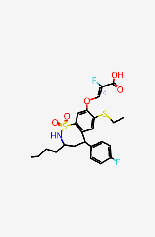 CCCCC1CC(c2ccc(F)cc2)c2cc(SCC)c(O/C=C(\F)C(=O)O)cc2S(=O)(=O)N1